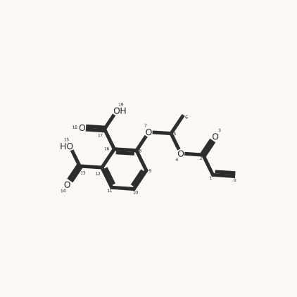 C=CC(=O)OC(C)Oc1cccc(C(=O)O)c1C(=O)O